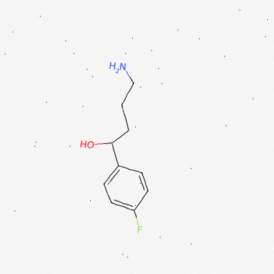 NCCCC(O)c1ccc(F)cc1